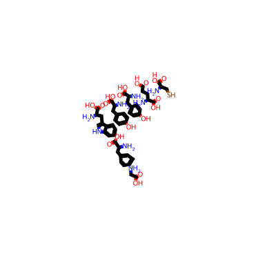 NC(CCC(=O)O)C(=O)O.NC(CS)C(=O)O.NC(Cc1c[nH]c2ccccc12)C(=O)O.NC(Cc1ccc(O)cc1)C(=O)O.NC(Cc1ccc(O)cc1)C(=O)O.NC(Cc1ccccc1)C(=O)O.NCC(=O)O